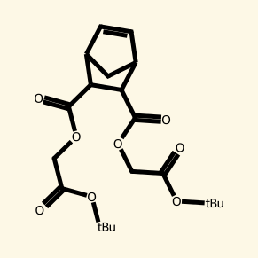 CC(C)(C)OC(=O)COC(=O)C1C2C=CC(C2)C1C(=O)OCC(=O)OC(C)(C)C